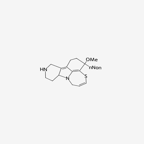 CCCCCCCCCC1(OC)CCC2=C3CNCCC3N3CC=CSC1=C23